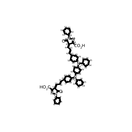 O=C(O)C1=NN(c2ccccc2)C(=O)/C1=C\C=C\c1ccc(N(c2ccccc2)c2ccc(N(c3ccccc3)c3ccc(/C=C/C=C4/C(=O)N(c5ccccc5)N=C4C(=O)O)cc3)cc2)cc1